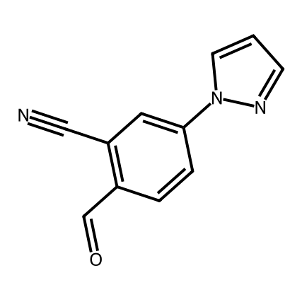 N#Cc1cc(-n2cccn2)ccc1C=O